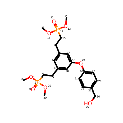 COP(=O)(CCc1cc(CCP(=O)(OC)OC)cc(Oc2ccc(CO)cc2)c1)OC